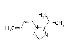 C=C/C=C\n1ccnc1C(C)C